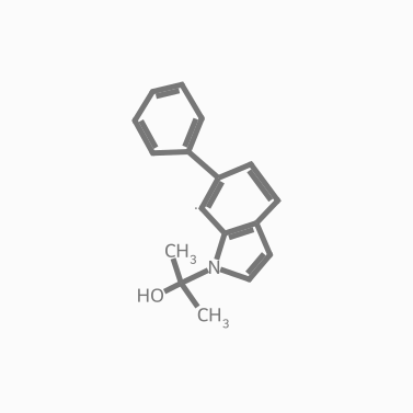 CC(C)(O)n1ccc2ccc(-c3ccccc3)[c]c21